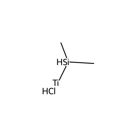 C[SiH](C)[Ti].Cl